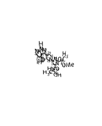 COC[C@@H](C)Oc1nc(C(=O)N[C@H](C)CO)cc(N2CCC(c3n[nH]c4nccc(OC(C)C)c34)CC2)n1